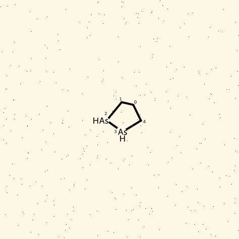 C1C[AsH][AsH]C1